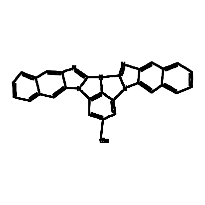 CC(C)(C)c1cc2c3c(c1)n1c4cc5ccccc5cc4nc1n3c1nc3cc4ccccc4cc3n21